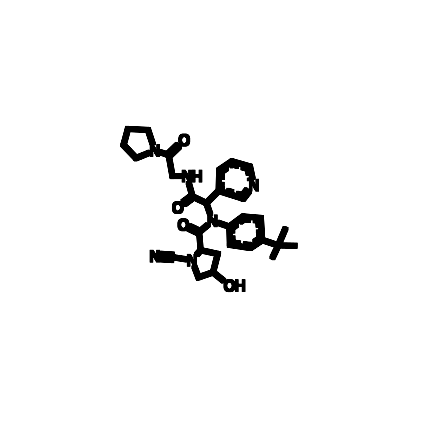 CC(C)(C)c1ccc(N(C(=O)C2CC(O)CN2C#N)C(C(=O)NCC(=O)N2CCCC2)c2cccnc2)cc1